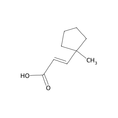 CC1(C=CC(=O)O)CCCC1